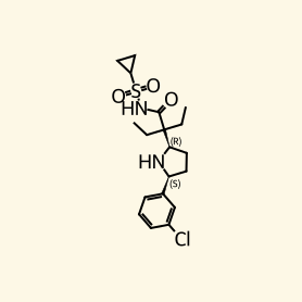 CCC(CC)(C(=O)NS(=O)(=O)C1CC1)[C@H]1CC[C@@H](c2cccc(Cl)c2)N1